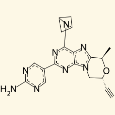 C#C[C@@H]1Cn2c(nc3c(N4CC5CC4C5)nc(-c4cnc(N)nc4)nc32)[C@@H](C)O1